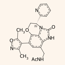 CC(=O)NCc1cc(-c2c(C)noc2C)c2c3c1[nH]c(=O)n3[C@@H](c1ccccn1)CO2